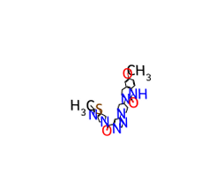 COc1ccc2c(c1)CCN(C1CCN(c3cc(C(=O)N4Cc5nc(C)sc5C4)ncn3)CC1)C(=O)N2